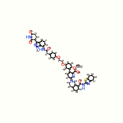 Cc1c(OCCOc2ccc(CC(=O)Nc3cccc4c(C5CCC(=O)NC5=O)nn(C)c34)cc2)cccc1-c1ccc(N2CCc3cccc(C(=O)Nc4nc5ccccc5s4)c3C2)nc1C(=O)OC(C)(C)C